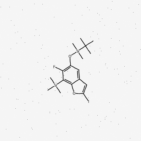 CC(C)(C)[Si](C)(C)Oc1cc2cc(I)oc2c([Si](C)(C)C)c1F